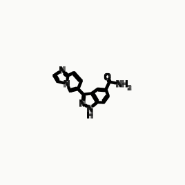 NC(=O)c1ccc2[nH]nc(-c3ccc4nccn4c3)c2c1